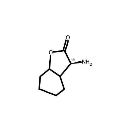 N[C@@H]1C(=O)OC2CCCCC21